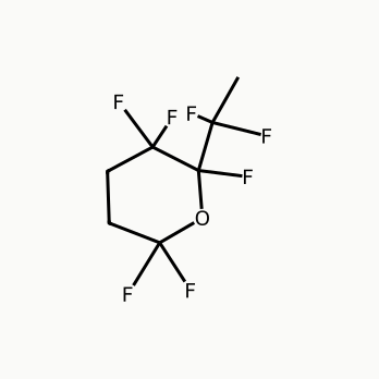 CC(F)(F)C1(F)OC(F)(F)CCC1(F)F